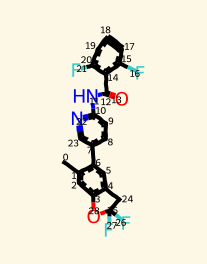 Cc1cc2c(cc1-c1ccc(NC(=O)c3c(F)c#ccc3F)nc1)CC(F)(F)O2